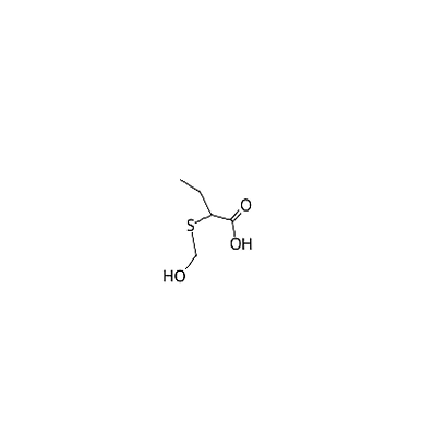 CCC(SCO)C(=O)O